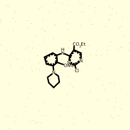 CCOC(=O)c1cnc(Cl)nc1Nc1cccc(N2CCCCC2)c1OC